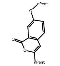 CCCCCOc1ccc2cc(CCCCC)oc(=O)c2c1